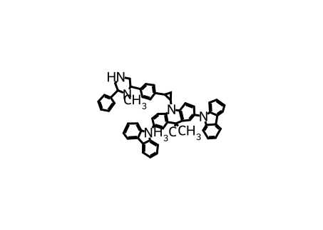 CN1C(c2ccccc2)CNCC1c1ccc(C2CC2N2c3ccc(-n4c5ccccc5c5ccccc54)cc3C(C)(C)c3cc(-n4c5ccccc5c5ccccc54)ccc32)cc1